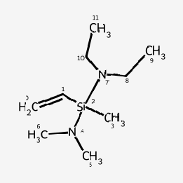 C=C[Si](C)(N(C)C)N(CC)CC